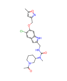 CC(=O)N1CCC[C@@H](N(C)C(=O)NCc2cc3cc(Cl)c(OCc4cc(C)on4)cc3[nH]2)C1